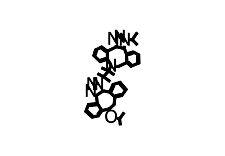 CC(C)OC1Cc2ccccc2C2C(N=NN2C(C)(C)C(C)(C)N2Cc3ccccc3C3C(N=NN3C(C)C)c3ccccc32)c2ccccc21